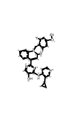 CCOc1cc(F)c(CN2c3ccccc3C(c3ncc(O)c(Nc4ccncc4C4CC4)n3)=CC2CC)c(F)c1